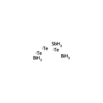 [BiH3].[BiH3].[SbH3].[Te].[Te].[Te]